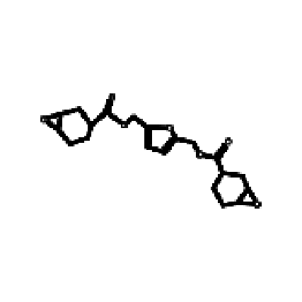 O=C(OCc1ccc(COC(=O)C2CCC3OC3C2)o1)C1CCC2OC2C1